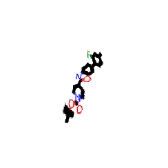 Cc1ccc(-c2ccc3nc(C4CCN(C(=O)OC(C)(C)C)CC4)oc3c2)c(F)c1